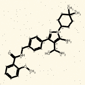 COc1ccccc1C(=O)NCc1ccc(-c2nn(C3CCC(C)(C)CC3)c(N)c2C(N)O)cc1